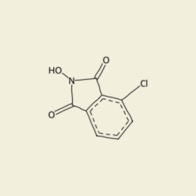 O=C1c2cccc(Cl)c2C(=O)N1O